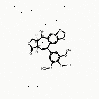 O=C1OC[C@H]2[C@@H]1C=C(c1cc(OO)c(OO)c(OO)c1)c1cc3c(cc1[C@@H]2O)OCO3